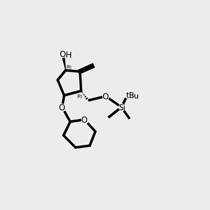 C=C1[C@H](O)CC(OC2CCCCO2)[C@H]1CO[Si](C)(C)C(C)(C)C